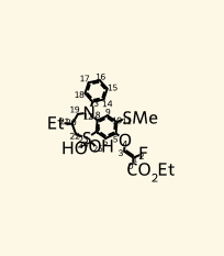 CCOC(=O)/C(F)=C/Oc1cc2c(cc1SC)N(c1ccccc1)CC(CC)CS2(O)O